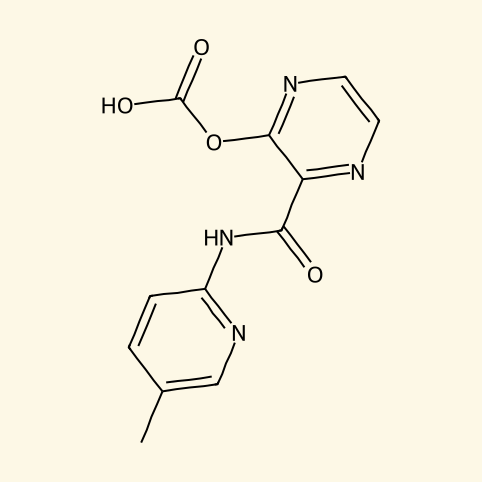 Cc1ccc(NC(=O)c2nccnc2OC(=O)O)nc1